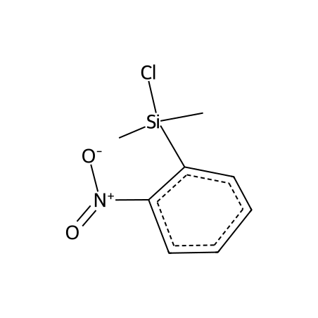 C[Si](C)(Cl)c1ccccc1[N+](=O)[O-]